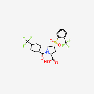 O=C(O)[C@@H]1C[C@@H](S(=O)(=O)c2ccccc2C(F)(F)F)CN1C(=O)C1CCC(C(F)(F)F)CC1